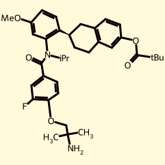 COc1ccc([C@@H]2CCc3cc(OC(=O)C(C)(C)C)ccc3C2)c(N(C(=O)c2ccc(OCC(C)(C)N)c(F)c2)C(C)C)c1